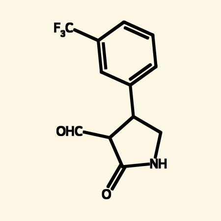 O=CC1C(=O)NCC1c1cccc(C(F)(F)F)c1